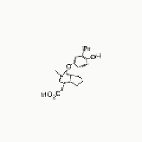 Cc1cc(CC(=O)O)c2c(c1Oc1ccc(O)c(C(C)C)c1)CCC2